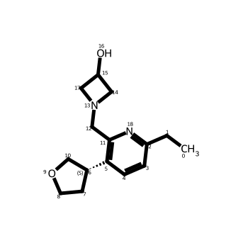 CCc1ccc([C@@H]2CCOC2)c(CN2CC(O)C2)n1